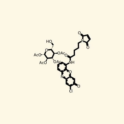 CC(=O)O[C@@H]1O[C@H](CO)[C@@H](OC(C)=O)[C@H](OC(C)=O)[C@H]1OC(C)=O.O=C(CCCCN1C(=O)C=CC1=O)Nc1cccc2nc3cc(Cl)c(=O)cc-3oc12